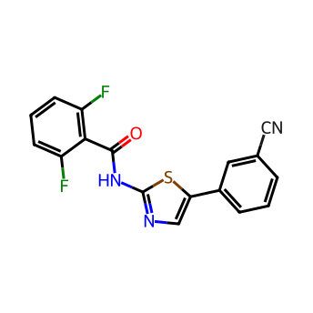 N#Cc1cccc(-c2cnc(NC(=O)c3c(F)cccc3F)s2)c1